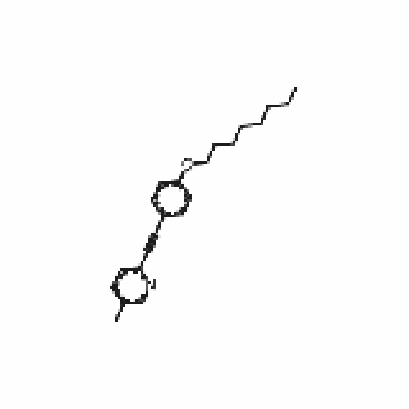 CCCCCCCCOc1ccc(C#Cc2ccc(C)cn2)cc1